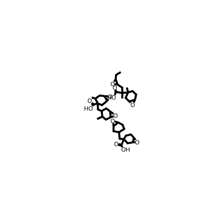 CC1CC2OC2CC1CC1(C(=O)O)CC2OC2CC1C.CCC1OC1CC(C)(C(=O)O)C1(C)CCC2OC2C1.O=C(O)C1(CC2CCC3OC3C2)CCC2OC2C1